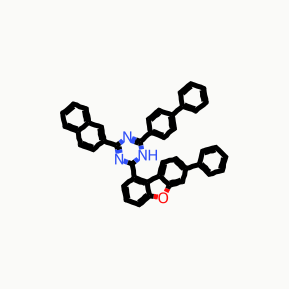 c1ccc(-c2ccc(C3=NC(c4ccc5ccccc5c4)=NC(c4cccc5oc6cc(-c7ccccc7)ccc6c45)N3)cc2)cc1